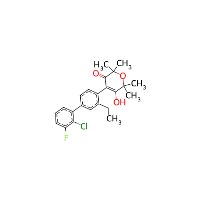 CCc1cc(-c2cccc(F)c2Cl)ccc1C1=C(O)C(C)(C)OC(C)(C)C1=O